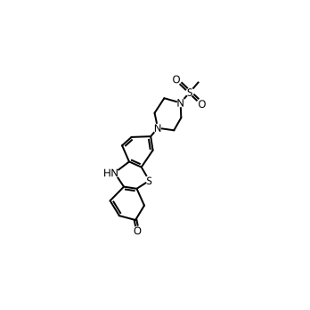 CS(=O)(=O)N1CCN(c2ccc3c(c2)SC2=C(C=CC(=O)C2)N3)CC1